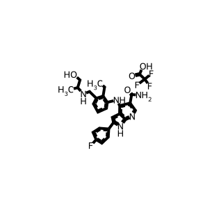 CCc1c(CNC(C)CO)cccc1Nc1c(C(N)=O)cnc2[nH]c(-c3ccc(F)cc3)cc12.O=C(O)C(F)(F)F